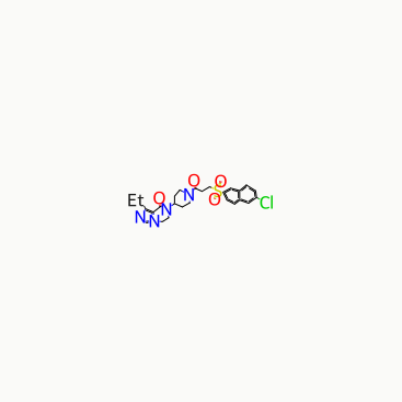 CCc1ncn2c1C(=O)N(C1CCN(C(=O)CCS(=O)(=O)c3ccc4cc(Cl)ccc4c3)CC1)CC2